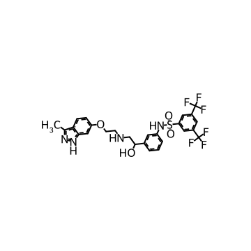 Cc1n[nH]c2cc(OCCNCC(O)c3cccc(NS(=O)(=O)c4cc(C(F)(F)F)cc(C(F)(F)F)c4)c3)ccc12